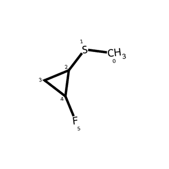 CSC1CC1F